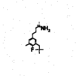 Cc1cc(CCC[C@H](C)N)cc(CC(C)(C)C)c1F